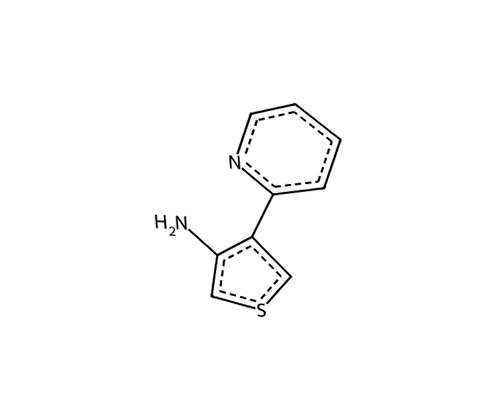 Nc1cscc1-c1ccccn1